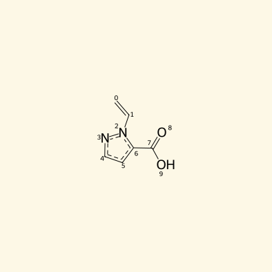 C=Cn1nccc1C(=O)O